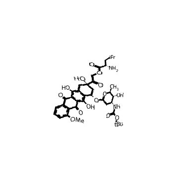 COc1cccc2c1C(=O)c1c(O)c3c(c(O)c1C2=O)C[C@@](O)(C(=O)COC(=O)[C@@H](N)CC(C)C)C[C@@H]3OC1C[C@@H](NC(=O)OC(C)(C)C)[C@@H](O)[C@H](C)O1